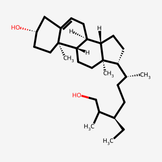 CC[C@H](CC[C@@H](C)[C@H]1CC[C@H]2[C@@H]3CC=C4C[C@@H](O)CC[C@]4(C)[C@H]3CC[C@]12C)C(C)CO